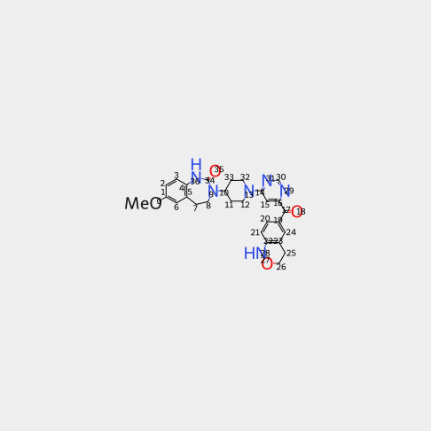 COc1ccc2c(c1)CCN(C1CCN(c3cc(C(=O)c4ccc5c(c4)CCON5)ncn3)CC1)C(=O)N2